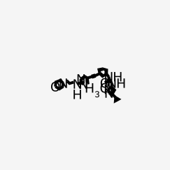 Cn1nc(C2CC2)cc1NC(=O)Nc1cccc(C#Cc2cnc(NCCCN3CCOCC3)nc2)c1